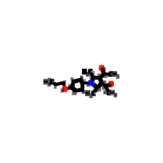 CCCOc1ccc(-n2c(C)c(C(C)=O)c(C(C)=O)c2C)cc1